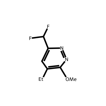 CCc1cc(C(F)F)nnc1OC